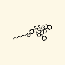 CCCCCCCCOc1ccc(SC2S[C@@H](OC(=O)c3ccccc3C)[C@@H](OC(=O)c3ccccc3)[C@@H]2F)cc1